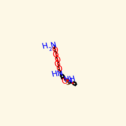 Cc1cc(NCCOCCOCCOCCOCCOCCN)ccc1C(=O)Nc1nc(-c2ccccc2)cs1